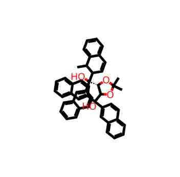 CC1c2ccccc2C=CC1C(O)(c1ccc2ccccc2c1)[C@@H]1OC(C)(C)OC1C(O)(c1ccc2ccccc2c1)c1ccc2ccccc2c1